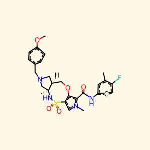 COc1ccc(CN2C[C@H]3COc4c(cn(C)c4C(=O)Nc4ccc(F)c(C)c4)S(=O)(=O)N[C@@]3(C)C2)cc1